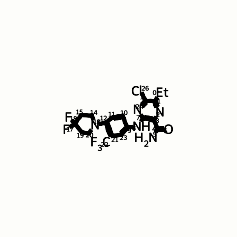 CCc1nc(C(N)=O)c(Nc2ccc(N3CCC(F)(F)CC3)c(C(F)(F)F)c2)nc1Cl